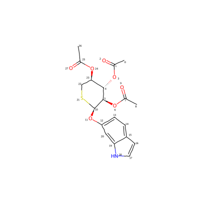 CC(=O)O[C@@H]1[C@@H](OC(C)=O)[C@@H](Oc2ccc3cc[nH]c3c2)SC[C@H]1OC(C)=O